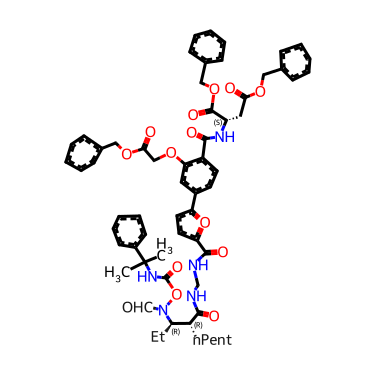 CCCCC[C@@H](C(=O)NCNC(=O)c1ccc(-c2ccc(C(=O)N[C@@H](CC(=O)OCc3ccccc3)C(=O)OCc3ccccc3)c(OCC(=O)OCc3ccccc3)c2)o1)[C@@H](CC)N(C=O)OC(=O)NC(C)(C)c1ccccc1